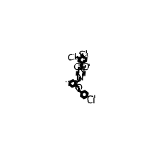 O=S(=O)(c1ccc(Cl)c(Cl)c1)N1CCN(Cc2c[c]ccc2OCc2ccc(Cl)cc2)CC1